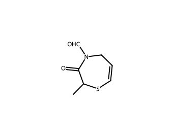 CC1SC=CCN(C=O)C1=O